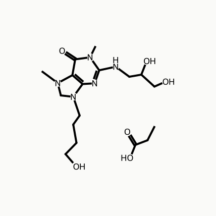 CCC(=O)O.CN1CN(CCCCO)c2nc(NCC(O)CO)n(C)c(=O)c21